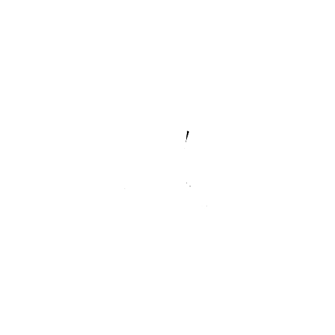 O=C(O)N1C[C@H](O)C[C@H]1CO